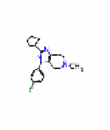 CN1CCc2nc(C3CCCC3)nc(-c3ccc(F)cc3)c2CC1